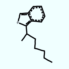 CCCCCC(C)C1=c2ccccc2=C[P]1